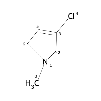 CN1[C]C(Cl)=CC1